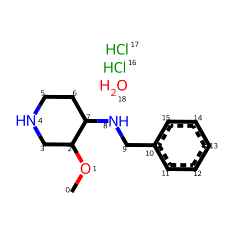 COC1CNCCC1NCc1ccccc1.Cl.Cl.O